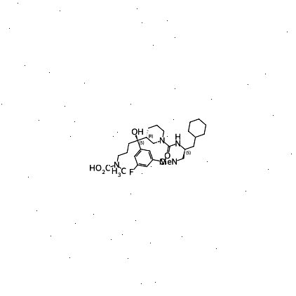 CNC[C@H](CC1CCCCC1)NC(=O)N1CCC[C@@H]([C@@](O)(CCCN(C)C(=O)O)c2cc(F)cc(Cl)c2)C1